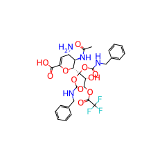 CC(=O)N[C@H]1[C@H](C(OC(=O)NCc2ccccc2)(OC(=O)NCc2ccccc2)[C@H](O)COC(=O)C(F)(F)F)OC(C(=O)O)=C[C@@H]1N